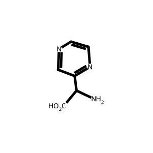 NC(C(=O)O)c1cnccn1